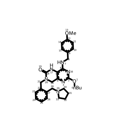 CCCCOc1nc2c(c(NCc3ccc(OC)cc3)n1)NC(=O)N(Cc1ccccc1CN1CCCC1)C2